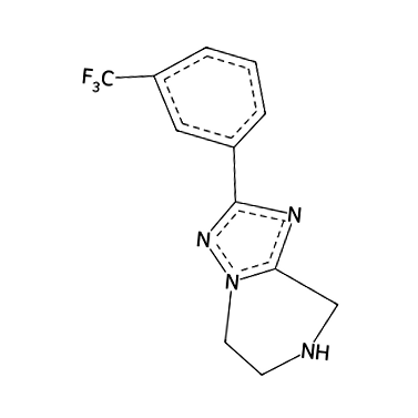 FC(F)(F)c1cccc(-c2nc3n(n2)CCNC3)c1